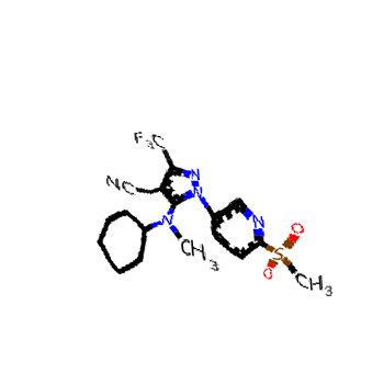 CN(c1c(C#N)c(C(F)(F)F)nn1-c1ccc(S(C)(=O)=O)nc1)C1CCCCC1